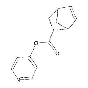 O=C(Oc1ccncc1)C1CC2C=CC1C2